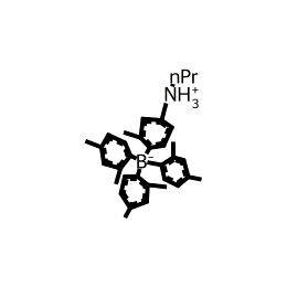 CCC[NH3+].Cc1ccc([B-](c2ccc(C)cc2C)(c2ccc(C)cc2C)c2ccc(C)cc2C)c(C)c1